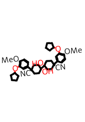 COc1ccc(C2(C#N)CCC(O)(C3(O)CCC(C#N)(c4ccc(OC)c(OC5CCCC5)c4)CC3)CC2)cc1OC1CCCC1